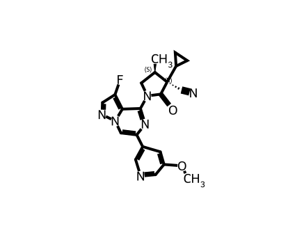 COc1cncc(-c2cn3ncc(F)c3c(N3C[C@@H](C)[C@@](C#N)(C4CC4)C3=O)n2)c1